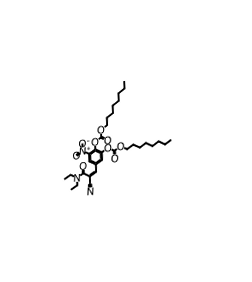 CCCCCCCCOC(=O)Oc1cc(C=C(C#N)C(=O)N(CC)CC)cc([N+](=O)[O-])c1OC(=O)OCCCCCCCC